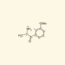 COc1cccc(C(=O)C(C)N)c1